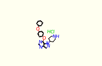 Cl.c1ccc(Oc2ccc(Oc3ncnc4cnn(C5CCNCC5)c34)cc2)cc1